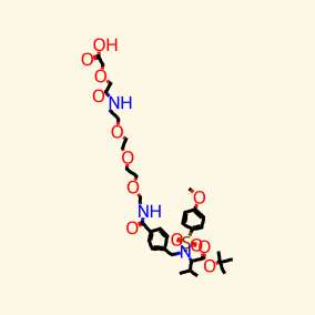 COc1ccc(S(=O)(=O)N(Cc2ccc(C(=O)NCCOCCOCCOCCNC(=O)COCC(=O)O)cc2)C(C(=O)OC(C)(C)C)C(C)C)cc1